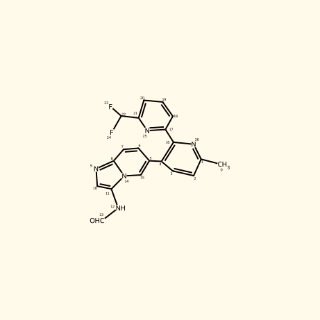 Cc1ccc(-c2ccc3ncc(NC=O)n3c2)c(-c2cccc(C(F)F)n2)n1